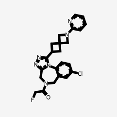 O=C(CF)N1Cc2cc(Cl)ccc2-n2c(nnc2C2CC3(C2)CN(c2ccccn2)C3)C1